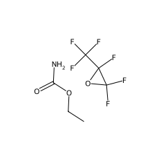 CCOC(N)=O.FC(F)(F)C1(F)OC1(F)F